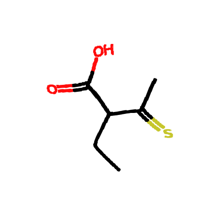 CCC(C(=O)O)C(C)=S